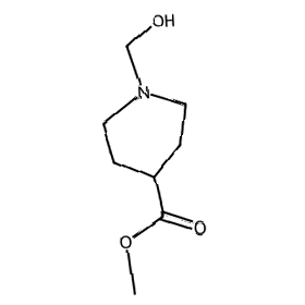 COC(=O)C1CCN(CO)CC1